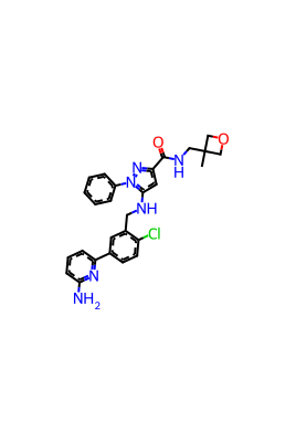 CC1(CNC(=O)c2cc(NCc3cc(-c4cccc(N)n4)ccc3Cl)n(-c3ccccc3)n2)COC1